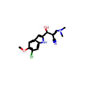 COc1cc2cc(C(O)/C(C#N)=C/N(C)C)[nH]c2cc1Br